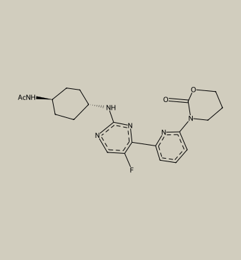 CC(=O)N[C@H]1CC[C@H](Nc2ncc(F)c(-c3cccc(N4CCCOC4=O)n3)n2)CC1